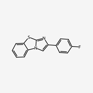 Fc1ccc(-c2cn3c(n2)sc2ccccc23)cc1